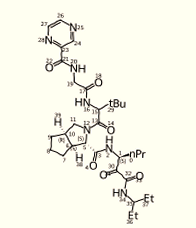 CCC[C@H](NC(=O)[C@@H]1[C@H]2CCC[C@H]2CN1C(=O)C(NC(=O)CNC(=O)c1cnccn1)C(C)(C)C)C(=O)C(=O)NC(CC)CC